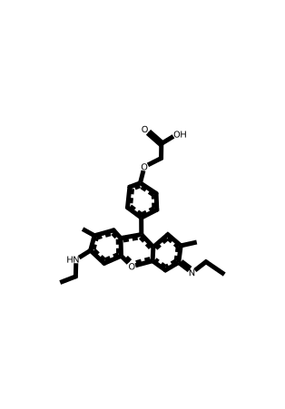 CC/N=c1/cc2oc3cc(NCC)c(C)cc3c(-c3ccc(OCC(=O)O)cc3)c-2cc1C